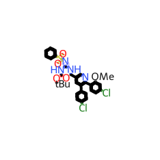 COc1cc(Cl)ccc1-c1ncc(CN/C(=N/S(=O)(=O)c2ccccc2)NC(=O)OC(C)(C)C)cc1-c1ccc(Cl)cc1